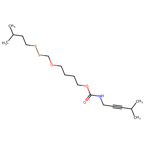 CC(C)C#CCNC(=O)OCCCCOCSSCCC(C)C